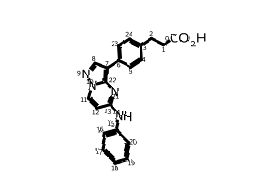 O=C(O)CCc1ccc(-c2cnn3ccc(Nc4ccccc4)nc23)cc1